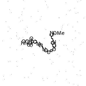 COc1cc(/C=C/c2ccc3cc(O[C@H]4C[C@H](OC5CCN(CCN6CCN(c7ccc8c(c7)C(=O)N(C7CCC(=O)NC7=O)C8=O)CC6)CC5)C4)ccc3n2)ccn1